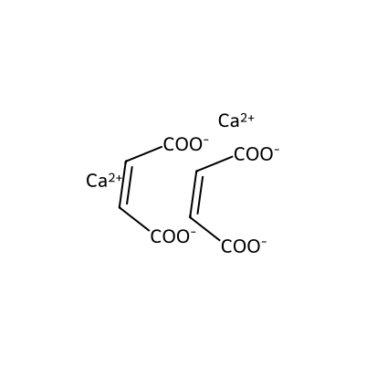 O=C([O-])/C=C\C(=O)[O-].O=C([O-])/C=C\C(=O)[O-].[Ca+2].[Ca+2]